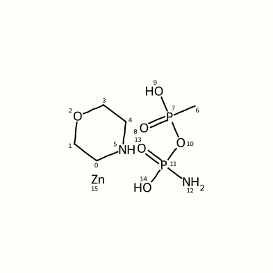 C1COCCN1.CP(=O)(O)OP(N)(=O)O.[Zn]